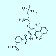 Cc1cccc(C)c1-c1cc(OCC(N)CCC(C)(C)F)nc(NS(=O)(=O)c2cccc(C(=O)O)c2)n1